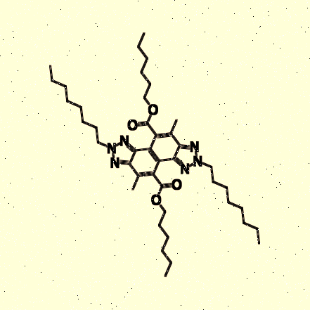 CCCCCCCCn1nc2c(C)c(C(=O)OCCCCCC)c3c4nn(CCCCCCCC)nc4c(C)c(C(=O)OCCCCCC)c3c2n1